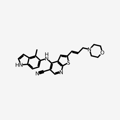 Cc1c(Nc2c(C#N)cnc3sc(/C=C/CN4CCOCC4)cc23)ccc2[nH]ccc12